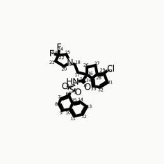 O=C(NS(=O)(=O)c1cccc2ccccc12)C1(CCN2CCC(F)(F)C2)CCc2c(Cl)cccc21